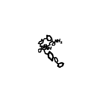 CC(C[CH]C(=O)NC(Cc1ccc(OCc2ccccc2)cc1)C(=O)NCC1CCN(Cc2ccccc2)C1)C(N)=O